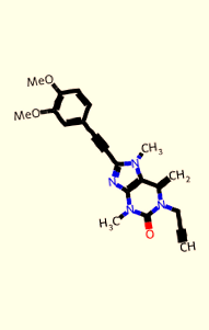 C#CCN1C(=C)c2c(nc(C#Cc3ccc(OC)c(OC)c3)n2C)N(C)C1=O